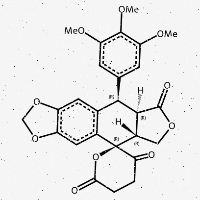 COc1cc([C@@H]2c3cc4c(cc3[C@]3(OC(=O)CCC3=O)[C@H]3COC(=O)[C@H]23)OCO4)cc(OC)c1OC